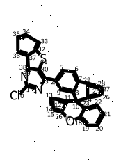 Clc1nc(-c2ccc3c(c2)C2(c4ccccc4Oc4ccccc42)c2ccccc2-3)c2sc3ccccc3c2n1